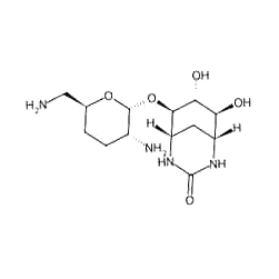 NC[C@@H]1CC[C@@H](N)[C@@H](O[C@H]2[C@H](O)[C@@H](O)[C@H]3C[C@@H]2NC(=O)N3)O1